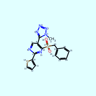 Cn1nnnc1-c1cnc(-c2cccs2)nc1S(=O)(=O)Cc1ccccc1